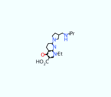 CCn1cc(C(=O)O)c(=O)c2c1N=C(N1CCC(CNC(C)C)C1)CC2